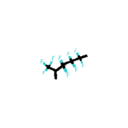 CC(C(F)(F)F)C(F)(F)C(F)(F)C(C)(F)F